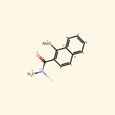 COc1c(C(=O)N(C)F)ccc2ccccc12